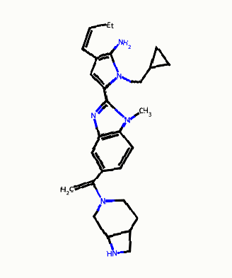 C=C(c1ccc2c(c1)nc(-c1cc(/C=C\CC)c(N)n1CC1CC1)n2C)N1CCC2CNC2C1